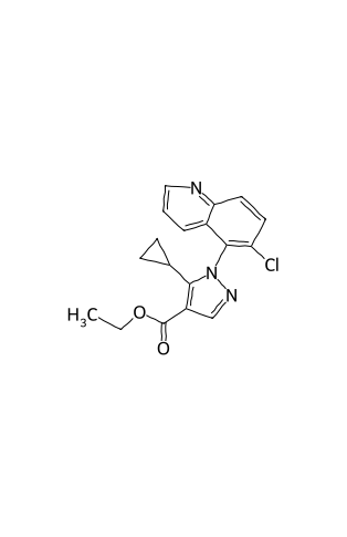 CCOC(=O)c1cnn(-c2c(Cl)ccc3ncccc23)c1C1CC1